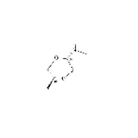 CN[C@@H]1CO[C@@H](C)CO1